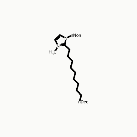 CCCCCCCCCCCCCCCCCCCc1n(CCCCCCCCC)cc[n+]1C